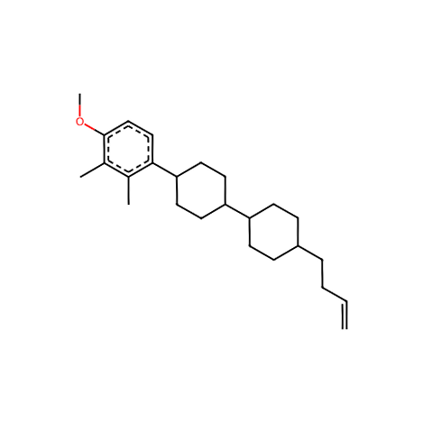 C=CCCC1CCC(C2CCC(c3ccc(OC)c(C)c3C)CC2)CC1